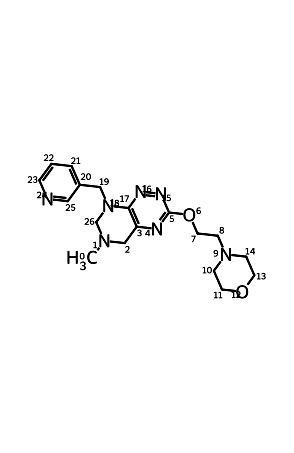 CN1Cc2nc(OCCN3CCOCC3)nnc2N(Cc2cccnc2)C1